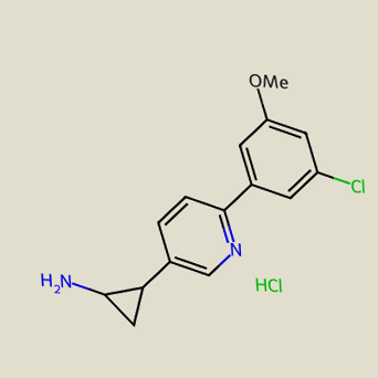 COc1cc(Cl)cc(-c2ccc(C3CC3N)cn2)c1.Cl